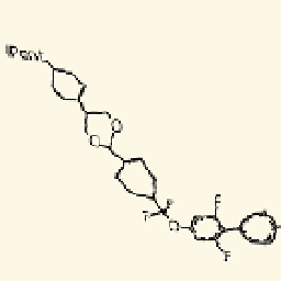 CCCCCC1CCC(C2COC(C3CCC(C(F)(F)Oc4cc(F)c(-c5ccc(C(F)(F)F)cc5)c(F)c4)CC3)OC2)CC1